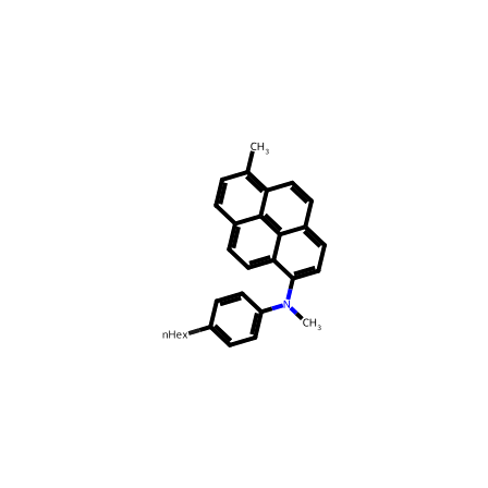 CCCCCCc1ccc(N(C)c2ccc3ccc4c(C)ccc5ccc2c3c54)cc1